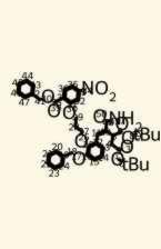 CC(C)(C)OC(=O)CC(C(=O)OC(C)(C)C)/C(=C\c1cccc(OCc2ccccc2)c1OCCCOc1cc([N+](=O)[O-])ccc1C(=O)OCc1ccccc1)C(N)=O